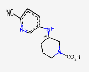 N#Cc1ccc(N[C@@H]2CCCN(C(=O)O)C2)cn1